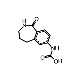 O=C(O)Nc1ccc2c(c1)CCCNC2=O